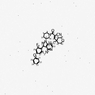 CC1(C=C(C#N)C(=O)N2CCC[C@@H](n3nc(-c4ccc(Oc5ccccc5)cc4F)c4c(N)nccc43)C2)CCOCC1